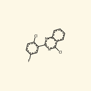 Fc1ccc(Cl)c(-c2nc(Cl)c3ccccc3n2)c1